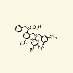 O=C(O)N(Cc1ccccc1)c1ccc(C(F)(F)F)cc1CN(Cc1cc(C(F)(F)F)cc(C(F)(F)F)c1)c1ncc(Br)cn1